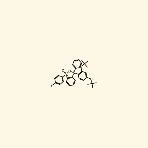 CC(C)(C)Oc1ccc(S(OS(=O)(=O)c2ccc(F)cc2)(c2ccccc2)c2ccccc2)c(OC(C)(C)C)c1